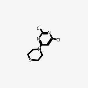 Clc1cc(N2CCSCC2)nc(Cl)n1